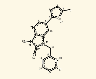 Cc1ccc(-c2cnc3c(c2)n(Cc2cccnn2)c(=O)n3C)s1